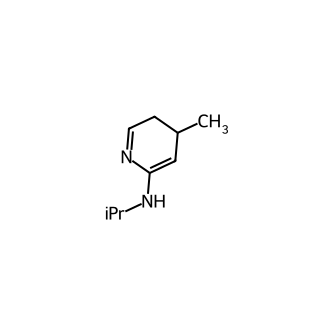 CC1C=C(NC(C)C)N=CC1